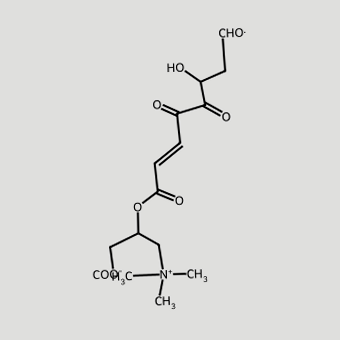 C[N+](C)(C)CC(CC(=O)[O-])OC(=O)/C=C/C(=O)C(=O)C(O)C[C]=O